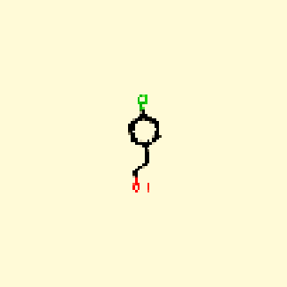 OCCc1[c]cc(Cl)cc1